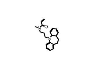 C=CC(=O)N(C)CCCN1c2ccccc2CCC2C=CC=CC21